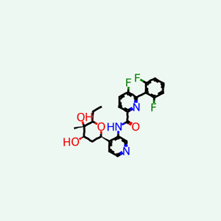 CC[C@H]1O[C@@H](c2ccncc2NC(=O)c2ccc(F)c(-c3c(F)cccc3F)n2)C[C@@H](O)[C@]1(C)O